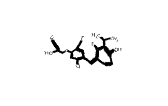 CC(C)c1c(O)ccc(Cc2cc(F)c(OCC(=O)O)cc2Cl)c1F